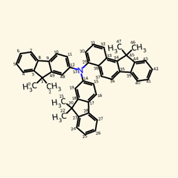 CC1(C)c2ccccc2-c2ccc(N(c3ccc4c(c3)C(C)(C)c3ccccc3-4)c3cccc4c5c(ccc34)-c3ccccc3C5(C)C)cc21